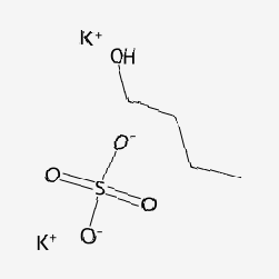 CCCCO.O=S(=O)([O-])[O-].[K+].[K+]